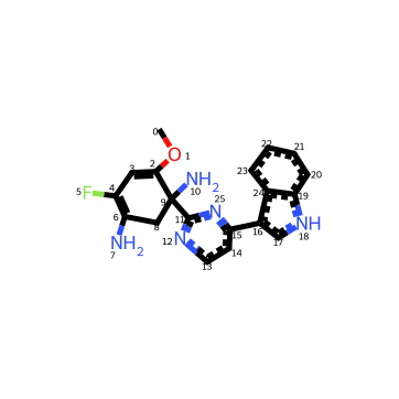 COC1=CC(F)=C(N)CC1(N)c1nccc(-c2c[nH]c3ccccc23)n1